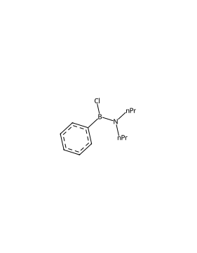 CCCN(CCC)B(Cl)c1ccccc1